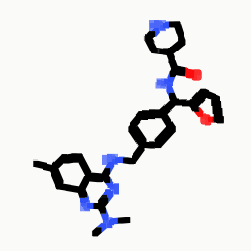 Cc1ccc2c(NCc3ccc(C(NC(=O)C4CCNCC4)c4ccco4)cc3)nc(N(C)C)nc2c1